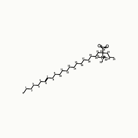 CCCCCCC=CCCCCCCCCCCCCCCC(CCC)(P(=O)=O)[N+](C)(C)C